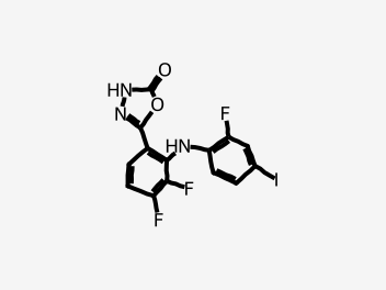 O=c1[nH]nc(-c2ccc(F)c(F)c2Nc2ccc(I)cc2F)o1